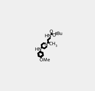 COc1ccc(NC2CCN(C(C)CCNC(=O)OC(C)(C)C)CC2)cc1